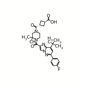 CC(C)(C)c1cc(-c2ccc(F)cc2)nn2cc(C(=O)N3CCN(C(=O)[C@H]4C[C@H](C(=O)O)C4)CC3(C)C)nc12